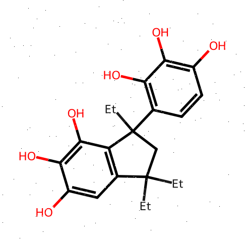 CCC1(CC)CC(CC)(c2ccc(O)c(O)c2O)c2c1cc(O)c(O)c2O